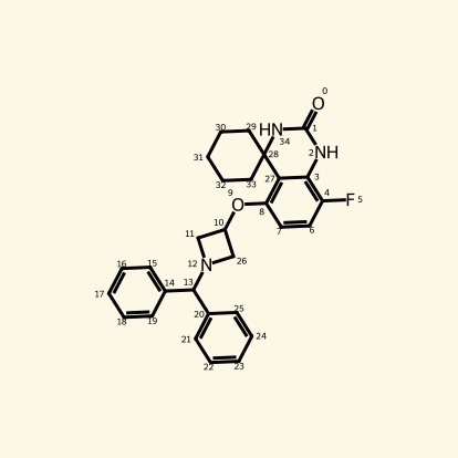 O=C1Nc2c(F)ccc(OC3CN(C(c4ccccc4)c4ccccc4)C3)c2C2(CCCCC2)N1